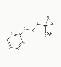 O=C(O)C1(CCCc2ccccc2)CC1